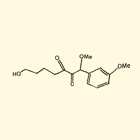 COc1cccc(C(OC)C(=O)C(=O)CCCCO)c1